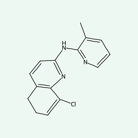 Cc1cccnc1Nc1ccc2c(n1)C(Cl)=CCC2